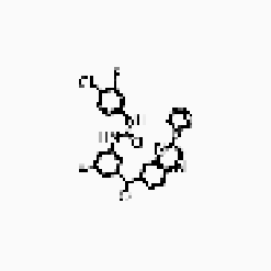 O=C(Nc1cc(F)cc(C(=O)c2ccc3ncc(-n4ccnc4)nc3c2)c1)Nc1ccc(Cl)c(F)c1